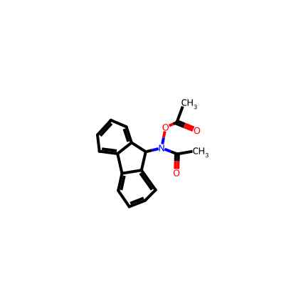 CC(=O)ON(C(C)=O)C1c2ccccc2-c2ccccc21